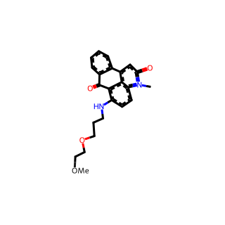 COCCOCCCNc1ccc2c3c(cc(=O)n2C)-c2ccccc2C(=O)c13